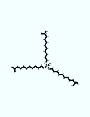 CC(C)CCCCCCCCCOP(=O)(OCCCCCCCCCC(C)C)OCCCCCCCCCC(C)C